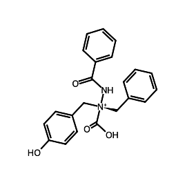 O=C(N[N@@+](Cc1ccccc1)(Cc1ccc(O)cc1)C(=O)O)c1ccccc1